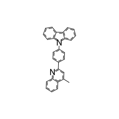 Cc1cc(-c2ccc(-n3c4ccccc4c4ccccc43)cc2)nc2ccccc12